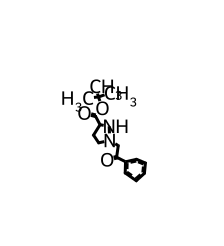 CC(C)(C)OC(=O)C1CCN(CC(=O)c2ccccc2)N1